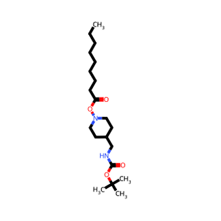 CCCCCCCCC(=O)ON1CCC(CNC(=O)OC(C)(C)C)CC1